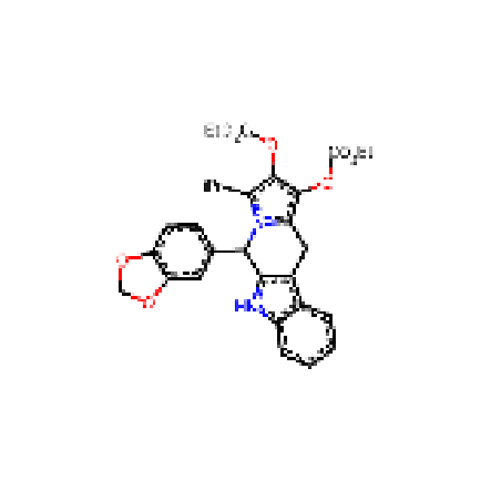 CCOC(=O)Oc1c(OC(=O)OCC)c(C(C)C)n2c1Cc1c([nH]c3ccccc13)C2c1ccc2c(c1)OCO2